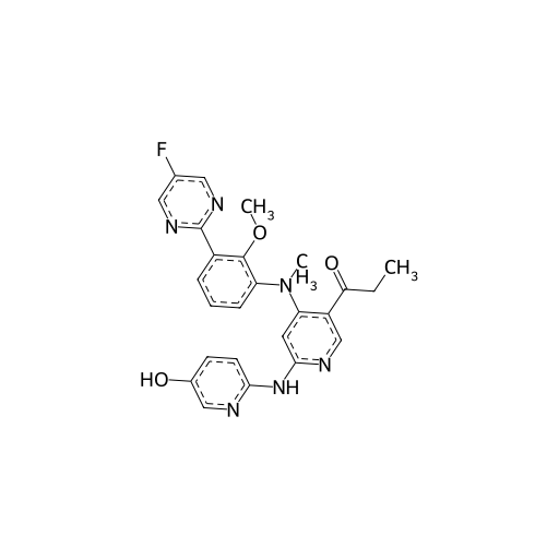 CCC(=O)c1cnc(Nc2ccc(O)cn2)cc1N(C)c1cccc(-c2ncc(F)cn2)c1OC